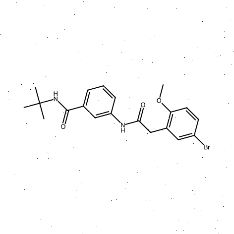 COc1ccc(Br)cc1CC(=O)Nc1cccc(C(=O)NC(C)(C)C)c1